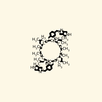 CC(C)C[C@H]1CO[C@H](C)CN(C)[C@@H](CC(C)C)CO[C@H](Cc2ccc(Cn3cc4c(n3)CNC4)cc2)CN(C)[C@@H](CC(C)C)CO[C@H](C)CN(C)[C@@H](CC(C)C)CO[C@H](Cc2ccc(Cn3cc4c(n3)CNC4)cc2)CN1C